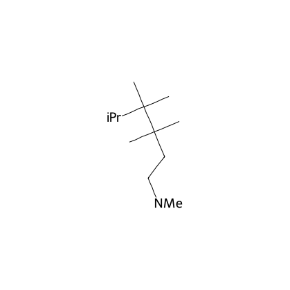 CNCCC(C)(C)C(C)(C)C(C)C